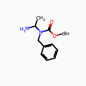 CC(N)N(Cc1ccccc1)C(=O)OC(C)(C)C